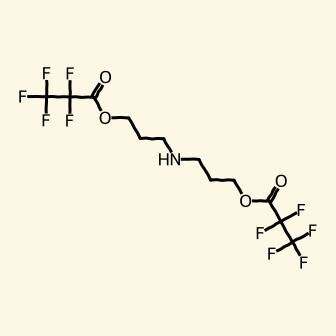 O=C(OCCCNCCCOC(=O)C(F)(F)C(F)(F)F)C(F)(F)C(F)(F)F